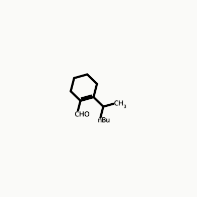 CCCCC(C)C1=C(C=O)CCCC1